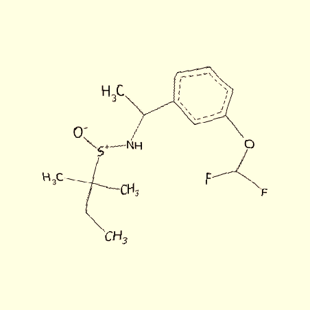 CCC(C)(C)[S+]([O-])NC(C)c1cccc(OC(F)F)c1